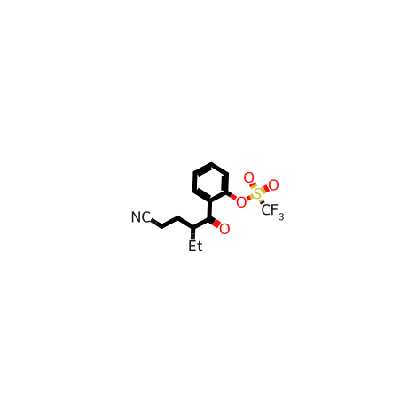 CCC(CCC#N)C(=O)c1ccccc1OS(=O)(=O)C(F)(F)F